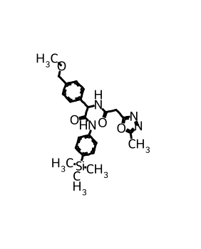 COCc1ccc(C(NC(=O)Cc2nnc(C)o2)C(=O)Nc2ccc([Si](C)(C)C)cc2)cc1